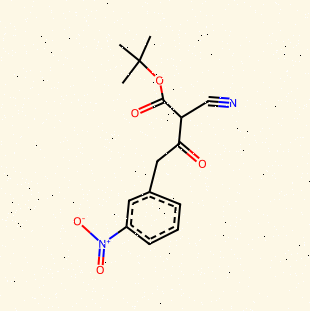 CC(C)(C)OC(=O)C(C#N)C(=O)Cc1cccc([N+](=O)[O-])c1